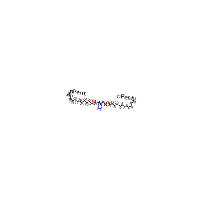 CCCCC/C=C\C/C=C\CCCCCCCCOCCNCCOCCCCCCCC/C=C\C/C=C\CCCCC